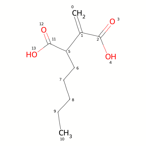 C=C(C(=O)O)C(CCCCC)C(=O)O